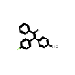 CC/C(=C(/c1ccc(F)cc1)c1ccc(C=O)cc1)c1ccccc1